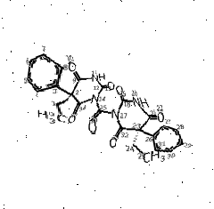 CC[C@@]1(c2ccccc2)C(=O)NC(=O)N(C(=O)N2C(=O)NC(=O)[C@@](CC)(c3ccccc3)C2=O)C1=O